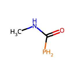 CNC(=O)P